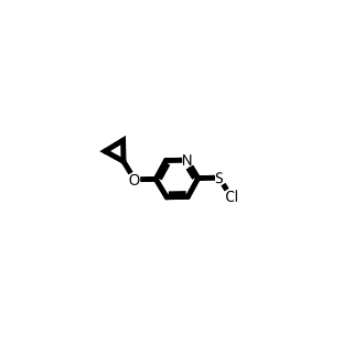 ClSc1ccc(OC2CC2)cn1